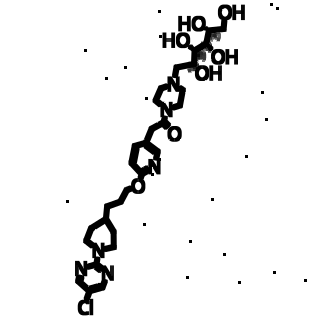 O=C(Cc1ccc(OCCCC2CCN(c3ncc(Cl)cn3)CC2)nc1)N1CCN(C[C@H](O)[C@@H](O)[C@H](O)[C@H](O)CO)CC1